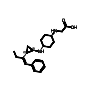 CCC(=Cc1ccccc1)[C@@H]1C[C@H]1N[C@H]1CC[C@H](NCC(=O)O)CC1